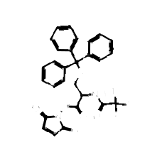 O=C(ON1C(=O)C=CC1=O)C(CSC(c1ccccc1)(c1ccccc1)c1ccccc1)NC(=O)C(F)(F)F